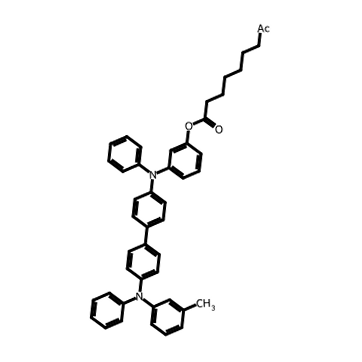 CC(=O)CCCCCCC(=O)Oc1cccc(N(c2ccccc2)c2ccc(-c3ccc(N(c4ccccc4)c4cccc(C)c4)cc3)cc2)c1